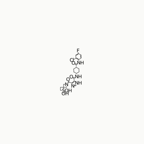 O=C(N[C@H]1CC[C@H](C(=O)Nc2ccc(F)cc2Cl)CC1)c1[nH]cnc1C(=O)N1CC2(CCS2(O)O)C1